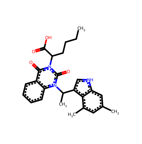 CCCCC(C(=O)O)n1c(=O)c2ccccc2n(C(C)c2c[nH]c3cc(C)cc(C)c23)c1=O